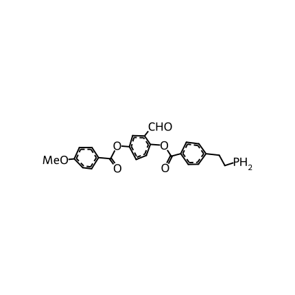 COc1ccc(C(=O)Oc2ccc(OC(=O)c3ccc(CCP)cc3)c(C=O)c2)cc1